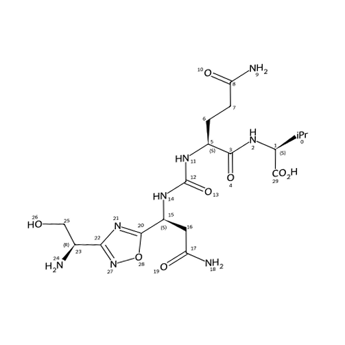 CC(C)[C@H](NC(=O)[C@H](CCC(N)=O)NC(=O)N[C@@H](CC(N)=O)c1nc([C@@H](N)CO)no1)C(=O)O